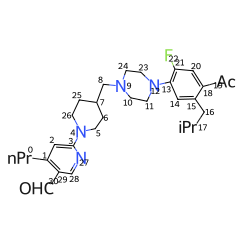 CCCc1cc(N2CCC(CN3CCN(c4cc(CC(C)C)c(C(C)=O)cc4F)CC3)CC2)ncc1C=O